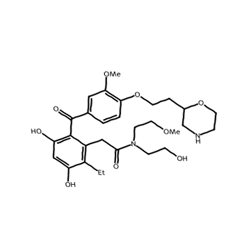 CCc1c(O)cc(O)c(C(=O)c2ccc(OCCC3CNCCO3)c(OC)c2)c1CC(=O)N(CCO)CCOC